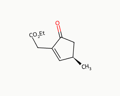 CCOC(=O)CC1=C[C@H](C)CC1=O